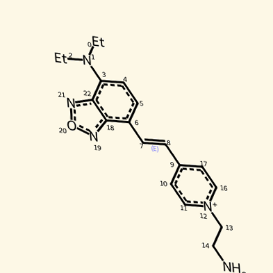 CCN(CC)c1ccc(/C=C/c2cc[n+](CCN)cc2)c2nonc12